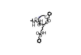 CC(C)NC(=O)C[C@H]1C/C=C\CCC[C@H](Cc2ccccc2)C(=O)OC[C@H](CCCCNC(=O)OCc2ccccc2)NC1=O